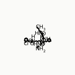 CCCCCNC(=O)CCC(=O)NC(Cc1ccccc1)C(=O)NC(CCCCNC(=O)OCc1ccccc1Cl)C(=O)NCCN